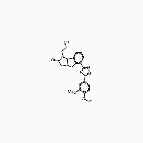 CSc1cc(-c2nc(-c3cccc4c3CC3CC(=O)N(CCO)C43)no2)ccc1OC(C)C